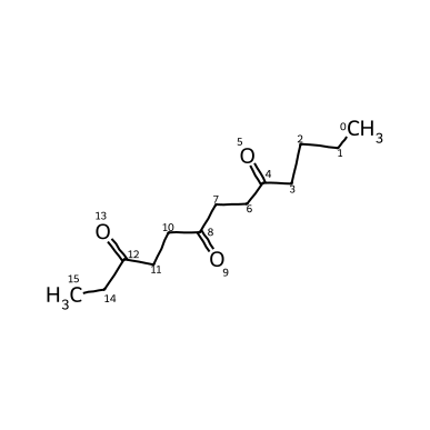 CCCCC(=O)CCC(=O)CCC(=O)CC